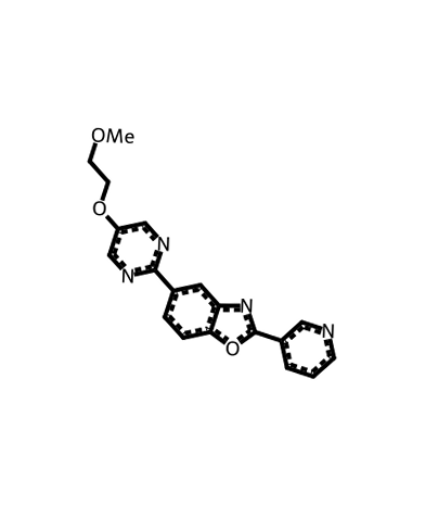 COCCOc1cnc(-c2ccc3oc(-c4cccnc4)nc3c2)nc1